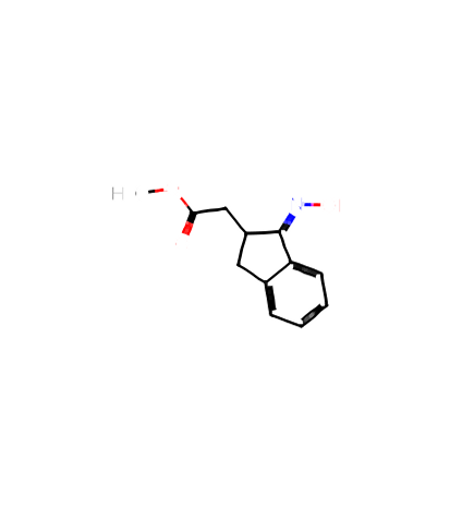 COC(=O)CC1Cc2ccccc2/C1=N\O